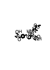 CCOC(=O)c1sc(Nc2nc(N3CCNC(=O)C3)c3c(n2)N(Cc2ccc(C(=O)N(CC)CCO)cc2)CCC3)nc1C